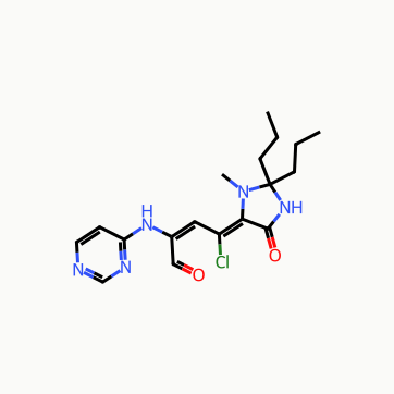 CCCC1(CCC)NC(=O)/C(=C(Cl)/C=C(\C=O)Nc2ccncn2)N1C